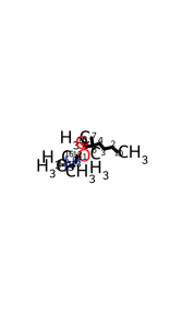 CCCCCC(C)(CC)C(=O)OCC[N+](C)(C)C